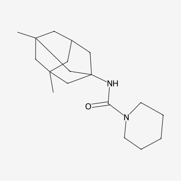 CC12CC3CC(C)(C1)CC(NC(=O)N1CCCCC1)(C3)C2